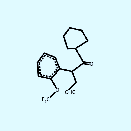 O=CCC(C(=O)C1CCCCC1)c1ccccc1OC(F)(F)F